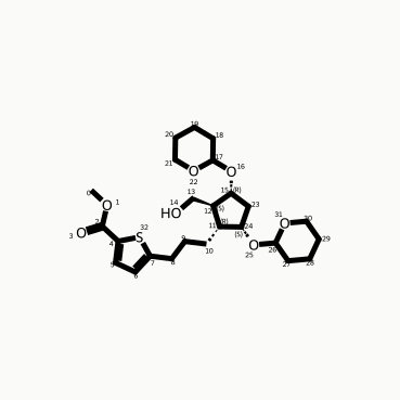 COC(=O)c1ccc(CCC[C@@H]2[C@@H](CO)[C@H](OC3CCCCO3)C[C@@H]2OC2CCCCO2)s1